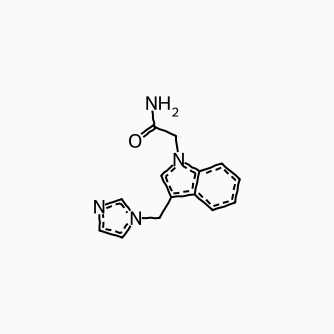 NC(=O)Cn1cc(Cn2ccnc2)c2ccccc21